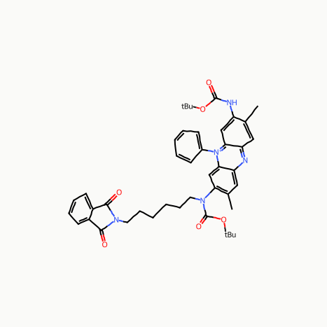 Cc1cc2nc3cc(C)c(N(CCCCCCN4C(=O)c5ccccc5C4=O)C(=O)OC(C)(C)C)cc3[n+](-c3ccccc3)c2cc1NC(=O)OC(C)(C)C